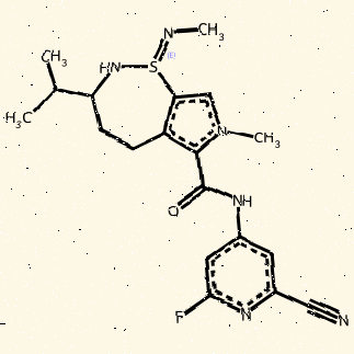 C/N=S1/NC(C(C)C)CCc2c1cn(C)c2C(=O)Nc1cc(F)nc(C#N)c1